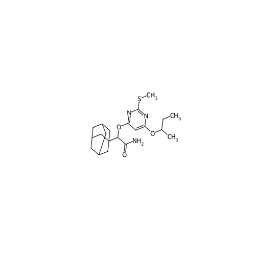 CCC(C)Oc1cc(OC(C(N)=O)C23CC4CC(CC(C4)C2)C3)nc(SC)n1